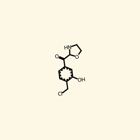 O=C(c1ccc(CCl)c(O)c1)C1NCCO1